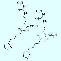 N=C(NCCCC(NC(=O)CCCCC1CCSS1)C(=O)O)N[N+](=O)[O-].N=C(NCCC[C@H](NC(=O)CCCCC1CCSS1)C(=O)O)N[N+](=O)[O-]